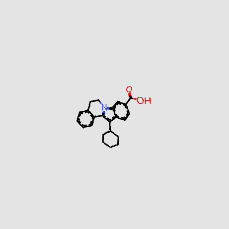 O=C(O)c1ccc2c(C3CCCCC3)c3n(c2c1)CCc1ccccc1-3